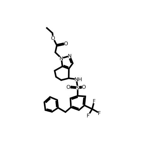 CCOC(=O)Cn1ncc2c1CCCC2NS(=O)(=O)c1cc(Cc2ccccc2)cc(C(F)(F)F)c1